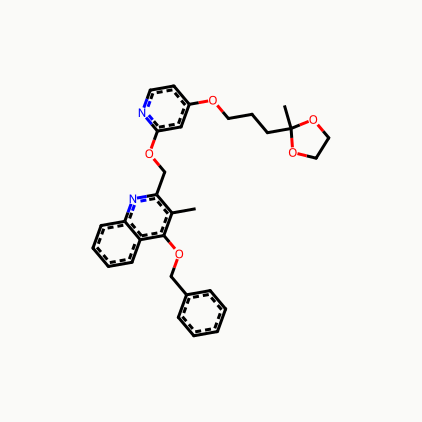 Cc1c(COc2cc(OCCCC3(C)OCCO3)ccn2)nc2ccccc2c1OCc1ccccc1